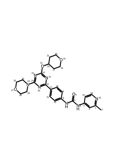 Cc1cc(NC(=O)Nc2ccc(-c3nc(OC4CCOCC4)nc(N4CCOCC4)n3)cc2)ccn1